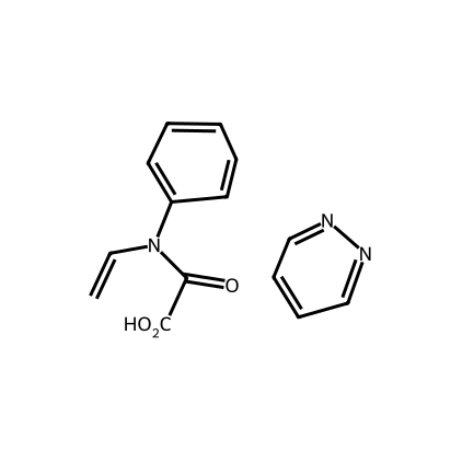 C=CN(C(=O)C(=O)O)c1ccccc1.c1ccnnc1